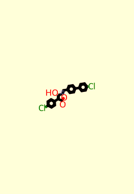 O=C1O/C(=C\c2ccc(-c3ccc(Cl)cc3)cc2)C(O)=C1c1ccc(Cl)cc1